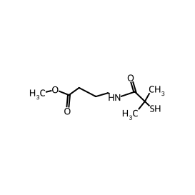 COC(=O)CCCNC(=O)C(C)(C)S